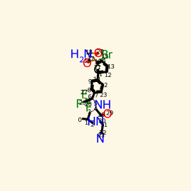 CC(C)C[C@H](N[C@@H](c1ccc(-c2ccc(Br)c(S(N)(=O)=O)c2)cc1)C(F)(F)F)C(=O)NCC#N